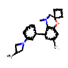 CN1CC2(CCC2)Oc2cc(C(F)(F)F)cc(-c3cccc(N4CC(C(=O)O)C4)c3)c21